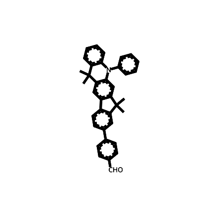 CC1(C)c2cc(-c3ccc(C=O)cc3)ccc2-c2cc3c(cc21)N(c1ccccc1)c1ccccc1C3(C)C